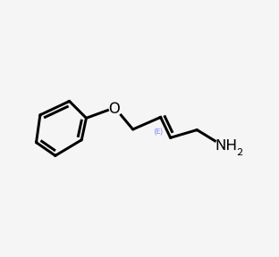 NC/C=C/COc1ccccc1